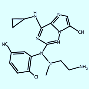 CN(CCN)N(c1nc(NC2CC2)c2ncc(C#N)n2n1)c1cc(C#N)ccc1Cl